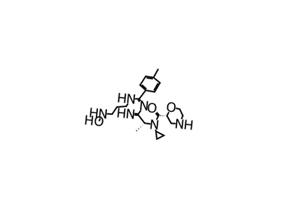 Cc1ccc(/C(=N/C(=N)[C@@H](C)N(C(=O)[C@H]2CNCCO2)C2CC2)NCCCNO)cc1